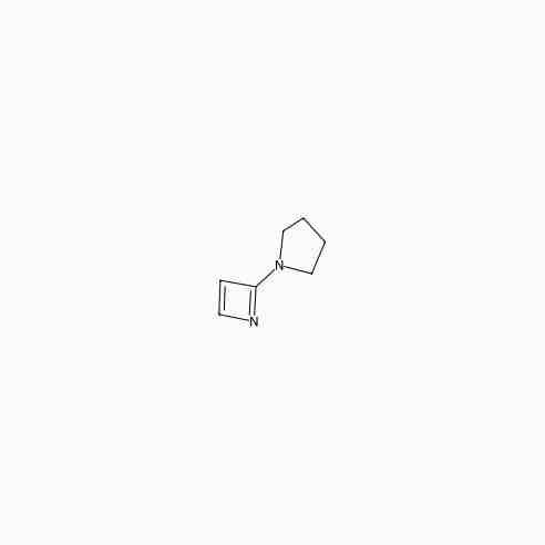 C1=CC(N2CCCC2)=N1